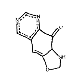 O=C1c2ncncc2C=C2OCNC12